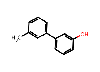 Cc1cccc(-c2cccc(O)c2)c1